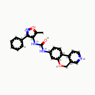 Cc1onc(-c2ccccc2)c1NC(=O)Nc1ccc2c(c1)OCc1cnccc1-2